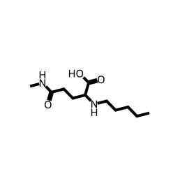 CCCCCNC(CCC(=O)NC)C(=O)O